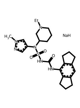 CCN1CCCC(N(c2cnn(C)c2)S(=O)(=O)NC(=O)Nc2c3c(cc4c2CCC4)CCC3)C1.[NaH]